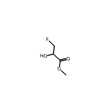 COC(=O)C(O)CF